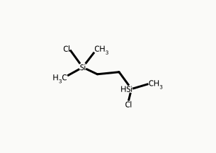 C[SiH](Cl)CC[Si](C)(C)Cl